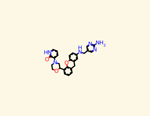 Nc1ncc(CNc2ccc3c(c2)Cc2cccc(C4CN(c5ccc[nH]c5=O)CCO4)c2O3)cn1